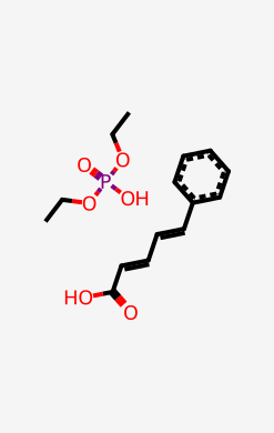 CCOP(=O)(O)OCC.O=C(O)C=CC=Cc1ccccc1